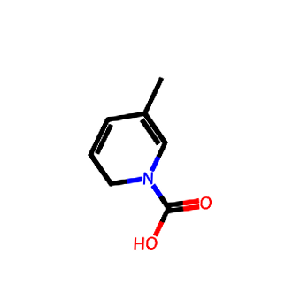 CC1=CN(C(=O)O)CC=C1